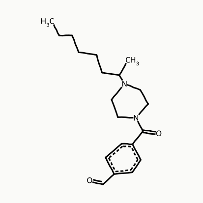 CCCCCCC(C)N1CCN(C(=O)c2ccc(C=O)cc2)CC1